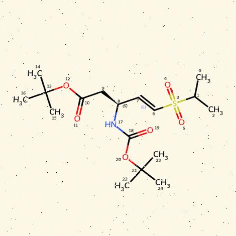 CC(C)S(=O)(=O)/C=C/[C@H](CC(=O)OC(C)(C)C)NC(=O)OC(C)(C)C